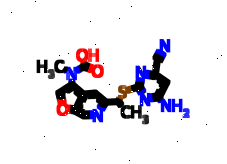 CC(Sc1nc(N)cc(C#N)n1)c1cc2c(N(C)C(=O)O)coc2cn1